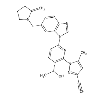 C#Cc1cc(C)n(-c2nc(-n3cnc4ccc(CN5CCCC5=C)cc43)ccc2C(C)O)n1